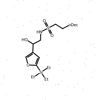 CCCCCCCCCCCCS(=O)(=O)NCC(O)c1coc([Si](CC)(CC)CC)c1